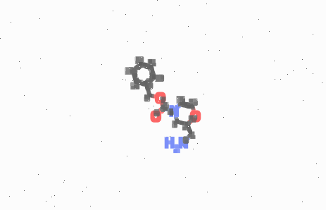 NCC1CN(C(=O)OCc2ccccc2)C=CO1